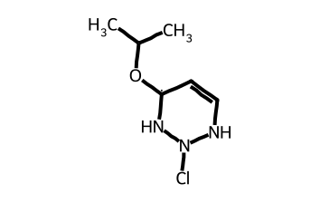 CC(C)O[C]1C=CNN(Cl)N1